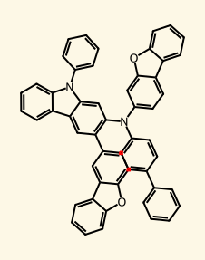 c1ccc(-c2ccc(N(c3ccc4c(c3)oc3ccccc34)c3cc4c(cc3-c3ccc5oc6ccccc6c5c3)c3ccccc3n4-c3ccccc3)cc2)cc1